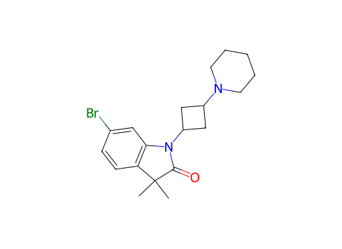 CC1(C)C(=O)N(C2CC(N3CCCCC3)C2)c2cc(Br)ccc21